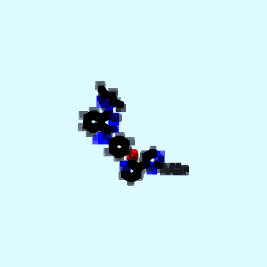 CNc1nccc(-c2cccnc2Oc2ccc(Nc3nnc(-n4nc(C)cc4C)c4ccccc34)cc2)n1